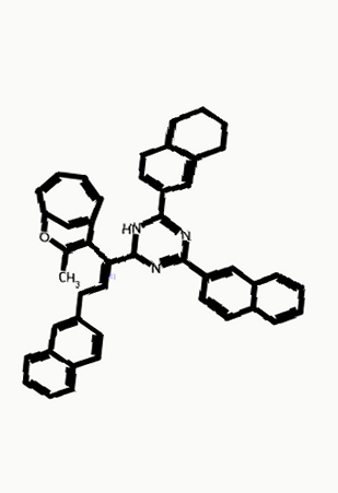 CC1=C(/C(=C\Cc2ccc3ccccc3c2)C2N=C(C3=CC4C=CC=CC4C=C3)N=C(C3=CCC4CCCCC4=C3)N2)C2=CC(C=CC=C2)O1